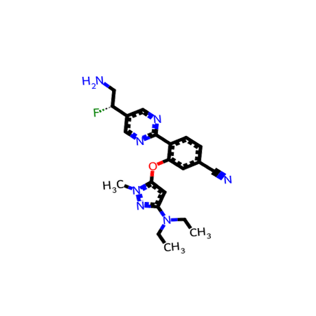 CCN(CC)c1cc(Oc2cc(C#N)ccc2-c2ncc([C@H](F)CN)cn2)n(C)n1